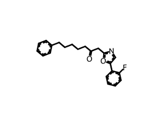 O=C(CCCCCc1ccccc1)Cc1ncc(-c2ccccc2F)o1